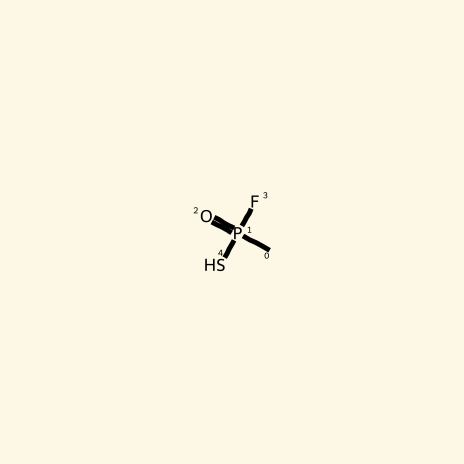 CP(=O)(F)S